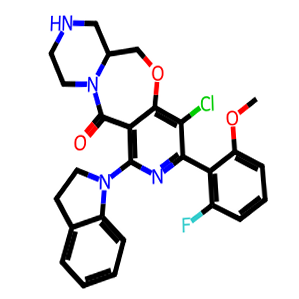 COc1cccc(F)c1-c1nc(N2CCc3ccccc32)c2c(c1Cl)OCC1CNCCN1C2=O